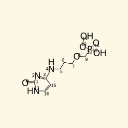 O=c1nc(NCCCOCP(=O)(O)OO)cc[nH]1